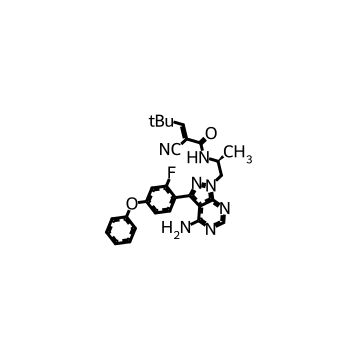 C[C@@H](Cn1nc(-c2ccc(Oc3ccccc3)cc2F)c2c(N)ncnc21)NC(=O)/C(C#N)=C/C(C)(C)C